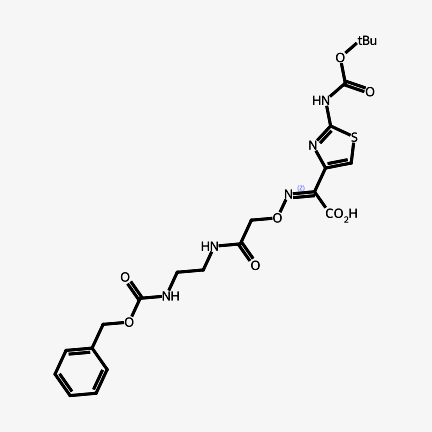 CC(C)(C)OC(=O)Nc1nc(/C(=N/OCC(=O)NCCNC(=O)OCc2ccccc2)C(=O)O)cs1